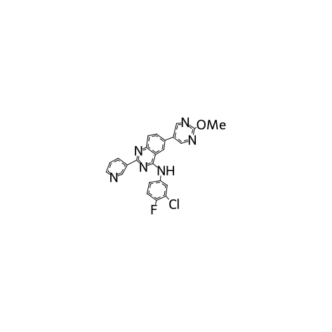 COc1ncc(-c2ccc3nc(-c4cccnc4)nc(Nc4ccc(F)c(Cl)c4)c3c2)cn1